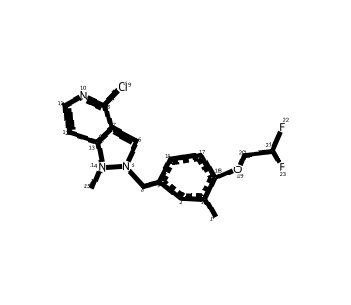 Cc1cc(CN2C=C3C(Cl)=NC=CC3N2C)ccc1OCC(F)F